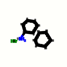 Br.Nc1ccccc1.c1ccccc1